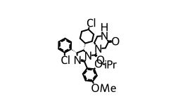 COc1ccc(C2=N[C@H](c3ccccc3Cl)[C@H](C3CCC(Cl)CC3)N2C(=O)N2CCNC(=O)C2)c(OC(C)C)c1